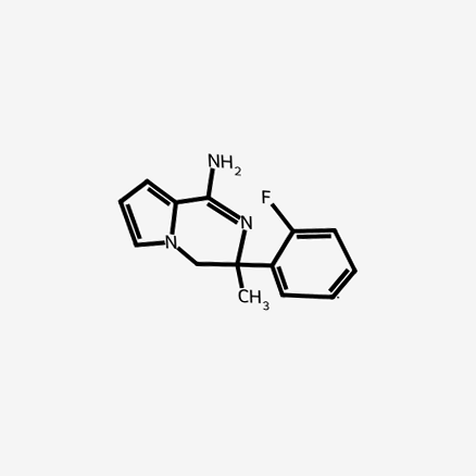 CC1(c2c[c]ccc2F)Cn2cccc2C(N)=N1